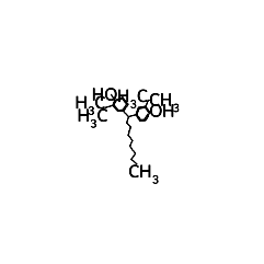 CCCCCCCCCC(c1ccc(O)c(C(C)C)c1)c1ccc(O)c(C(C)C)c1